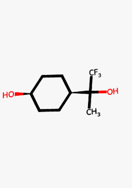 CC(O)([C@H]1CC[C@@H](O)CC1)C(F)(F)F